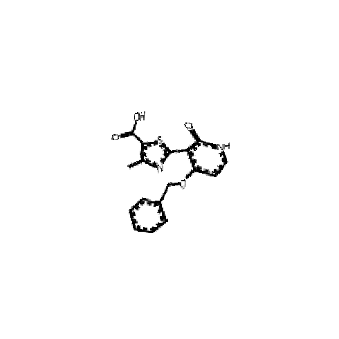 Cc1nc(-c2c(OCc3ccccc3)cc[nH]c2=O)sc1C(=O)O